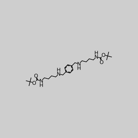 CC(C)(C)OC(=O)NCCCCNCc1ccc(CNCCCCNC(=O)OC(C)(C)C)cc1